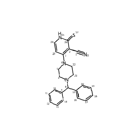 N#Cc1c(N2CCN(C(c3ccccc3)c3ccccc3)CC2)cc[nH]c1=S